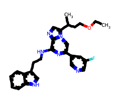 CCOCCC(C)c1cnc2c(NCCc3c[nH]c4ccccc34)nc(-c3cncc(F)c3)cn12